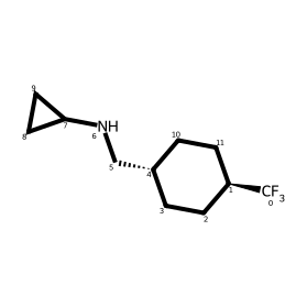 FC(F)(F)[C@H]1CC[C@H](CNC2CC2)CC1